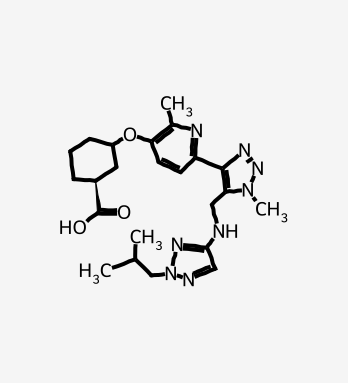 Cc1nc(-c2nnn(C)c2CNc2cnn(CC(C)C)n2)ccc1OC1CCC[C@H](C(=O)O)C1